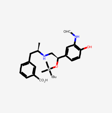 C[C@H](Cc1cccc(C(=O)O)c1)NC[C@H](O[Si](C)(C)C(C)(C)C)c1ccc(O)c(NC=O)c1